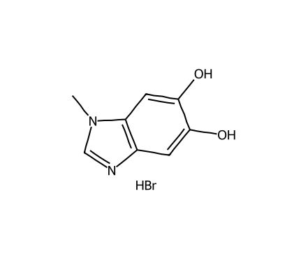 Br.Cn1cnc2cc(O)c(O)cc21